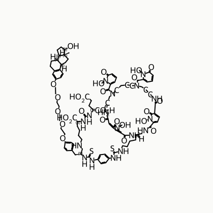 C[C@@]12CC[C@H]3c4ccc(OCCOCCOCCOCCOc5ccc(C[C@@H](CNCCCC[C@H](NC(=O)N[C@@H](CCC(=O)O)C(=O)O)C(=O)O)NC(=S)Nc6ccc(NC(=S)NCCCC[C@H]7CNC(=O)c8ccc(c(=O)n8O)C(=O)NCCCN(C(=O)c8cccc(=O)n8O)CCCCN(C(=O)c8cccc(=O)n8O)CCCNC(=O)c8ccc(n(O)c8=O)C(=O)N7)cc6)cc5)cc4CC[C@@H]3[C@H]1CC[C@H]2O